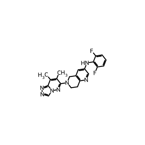 Cc1c(N2CCc3ncc(Nc4c(F)cccc4F)cc3C2)nn2cnnc2c1C